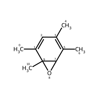 CC1=CC(C)=C(C)C2OC12C